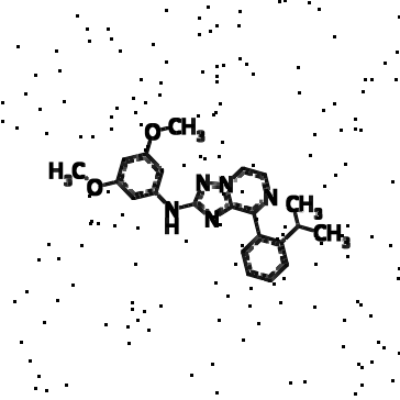 COc1cc(Nc2nc3c(-c4ccccc4C(C)C)nccn3n2)cc(OC)c1